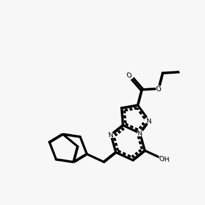 CCOC(=O)c1cc2nc(CC3CC4CCC3C4)cc(O)n2n1